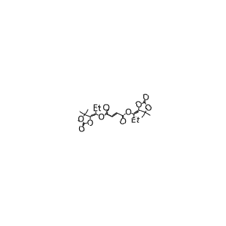 CC/C(OC(=O)/C=C/C(=O)O/C(CC)=C1\OC(=O)OC1(C)C)=C1/OC(=O)OC1(C)C